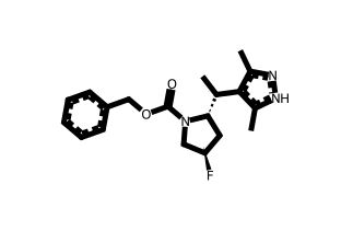 Cc1n[nH]c(C)c1C(C)[C@@H]1C[C@@H](F)CN1C(=O)OCc1ccccc1